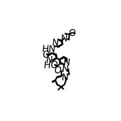 C=C1/C=C2/C(=O)N(c3nccc(-c4cc(Nc5ccc(N6CC(OC)C6)cn5)c(=O)n(C)c4)c3CO)CCN2CCC(C)(C)C1